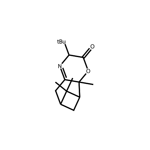 CC(C)(C)C1N=C2CC3CC(C2(C)OC1=O)C3(C)C